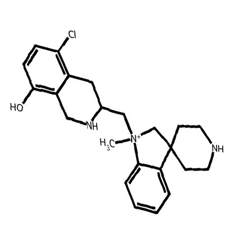 C[N+]1(CC2Cc3c(Cl)ccc(O)c3CN2)CC2(CCNCC2)c2ccccc21